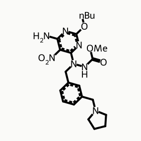 CCCCOc1nc(N)c([N+](=O)[O-])c(N(Cc2cccc(CN3CCCC3)c2)NC(=O)OC)n1